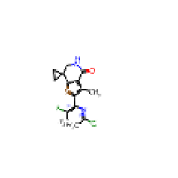 C/C(Cl)=N\C(=C(/C)F)c1sc2c(c1C)C(=O)NCC21CC1